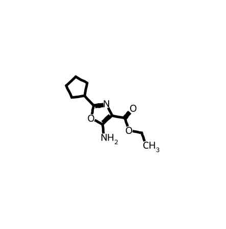 CCOC(=O)c1nc(C2CCCC2)oc1N